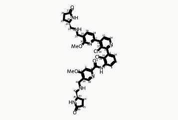 COc1cc(C(=O)Nc2cccc(-c3nccc(-c4ccc(CNC[C@H]5CCC(=O)N5)c(OC)n4)c3Cl)c2Cl)ncc1CNC[C@H]1CCC(=O)N1